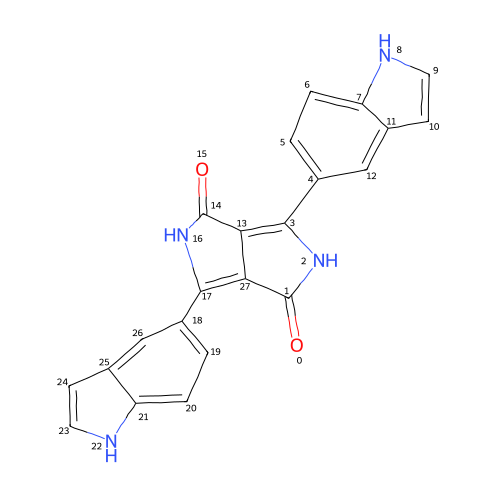 O=C1NC(c2ccc3[nH]ccc3c2)=C2C(=O)NC(c3ccc4[nH]ccc4c3)=C12